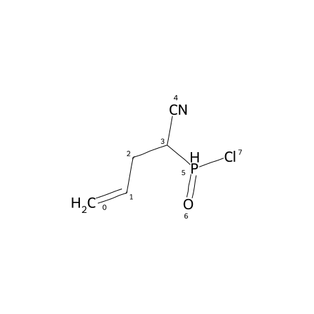 C=CCC(C#N)[PH](=O)Cl